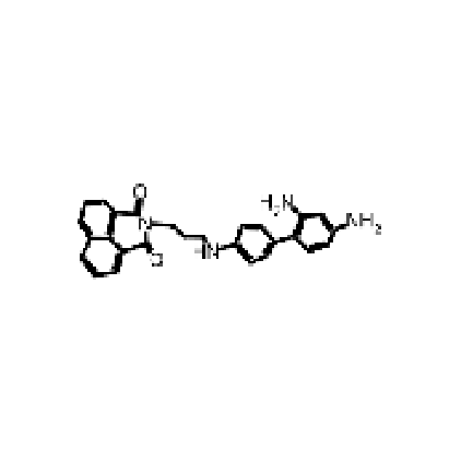 Nc1ccc(-c2ccc(NCCCN3C(=O)c4cccc5cccc(c45)C3=O)cc2)c(N)c1